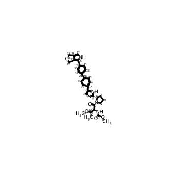 COC(=O)N[C@H](C(=O)N1CCC[C@H]1c1ncc(-c2ccc(-c3ccc(-c4[nH]cc5c4COC5)cc3)cc2)[nH]1)[C@@H](C)OC